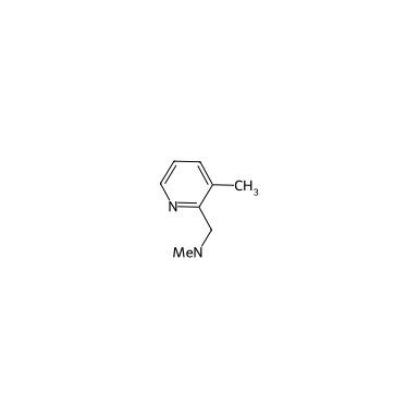 CNCc1ncccc1C